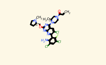 C=CC(=O)N1CCN(c2nc(OC[C@@H]3CCCN3C)nc3nc(-c4c(N)c(Cl)cc(Cl)c4F)c(Cl)cc23)[C@@H](C)C1